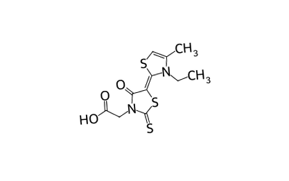 CCN1C(C)=CS/C1=C1/SC(=S)N(CC(=O)O)C1=O